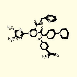 C[C@@H]1N=C(N2CCN(C(=O)[C@H](NC3CCC(C(N)=O)CC3)[C@H]3CC[C@H](N4CCCCC4)CC3)[C@H](C(=O)NCc3cccs3)C2)O[C@H]1C